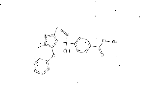 C=NC(O)(c1ccc(C(=O)OC(C)(C)C)cc1)c1c(C)nn(C)c1Oc1ccccc1